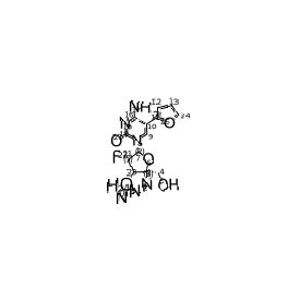 [N-]=[N+]=N[C@]1(CO)O[C@@H](n2cc(-c3ccco3)c(N)nc2=O)[C@@H](F)C1O